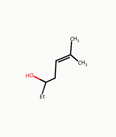 CCC(O)CC=C(C)C